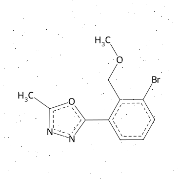 COCc1c(Br)cccc1-c1nnc(C)o1